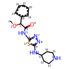 COC(C(=O)Nc1nnc(NC2CCNCC2)s1)c1ccccc1